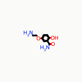 NCCOc1ccc(O)c(C(N)=O)c1